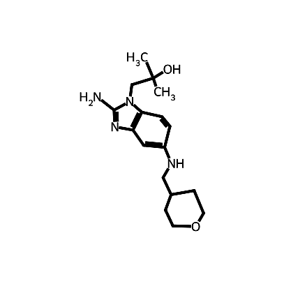 CC(C)(O)Cn1c(N)nc2cc(NCC3CCOCC3)ccc21